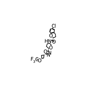 O=C(N[C@H]1CC[C@H](c2nnc([C@H]3C[C@@H](OC(F)(F)F)C3)o2)OC1)[C@H]1CCc2cc(Cl)ccc2O1